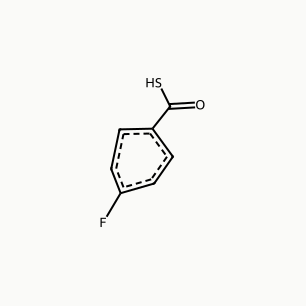 O=C(S)c1ccc(F)cc1